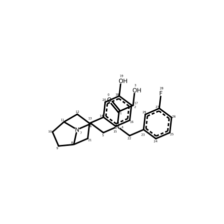 O=C(CO)N(CCN1C2CCC1CC(c1cccc(O)c1)C2)Cc1cccc(F)c1